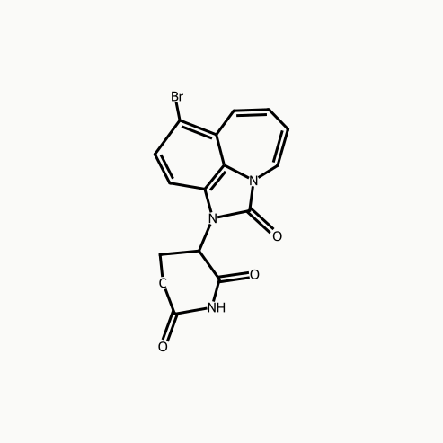 O=C1CCC(n2c(=O)n3c4c(c(Br)ccc42)C=CC=C3)C(=O)N1